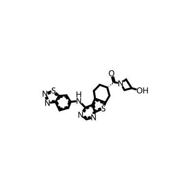 O=C([C@H]1CCc2c(sc3ncnc(Nc4ccc5nnsc5c4)c23)C1)N1CC(O)C1